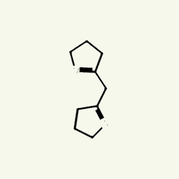 C1CN=C(CC2=NCCC2)C1